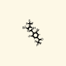 O=C(c1cc(F)c(-c2nc(Br)c(C(F)(F)F)[nH]2)c(Br)c1)C(F)(F)F